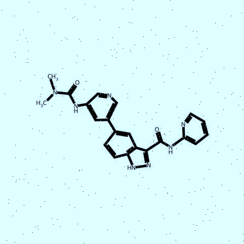 CN(C)C(=O)Nc1cncc(-c2ccc3[nH]nc(C(=O)Nc4ccccn4)c3c2)c1